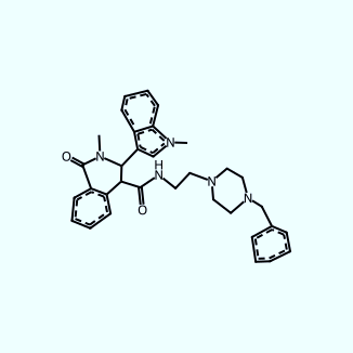 CN1C(=O)c2ccccc2C(C(=O)NCCN2CCN(Cc3ccccc3)CC2)C1c1cn(C)c2ccccc12